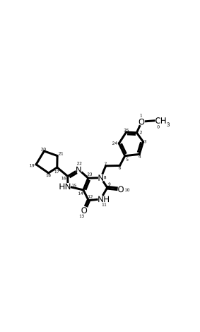 COc1ccc(CCn2c(=O)[nH]c(=O)c3[nH]c(C4CCCC4)nc32)cc1